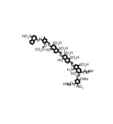 COc1cc([N+](=O)[O-])c(SOOO)cc1N=Nc1c(SOOO)cc2c(S(=O)(=O)O)cc(N=Nc3ccc4c(O)c(N=Nc5ccc6c(O)c(N=Nc7cc(C)c(N=Nc8ccc(S(=O)(=O)O)c9ccccc89)cc7OCC(=O)O)c(S(=O)(=O)O)cc6c5S(=O)(=O)O)c(S(=O)(=O)O)cc4c3S(=O)(=O)O)c(N)c2c1O